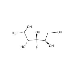 C[C@H](O)[C@@H](O)[C@@](O)(F)[C@H](O)CO